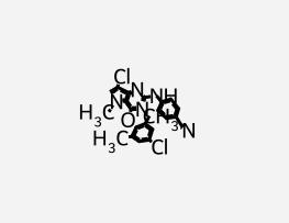 Cc1cc(Cl)cc(C)c1Oc1nc(Nc2ccc(C#N)cc2)nc2c(Cl)cn(C)c12